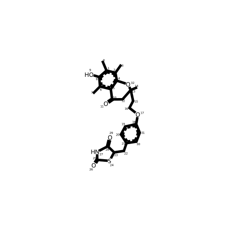 Cc1c(C)c2c(c(C)c1O)C(=O)CC(C)(CCOc1ccc(CC3SC(=O)NC3=O)cc1)O2